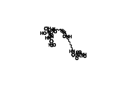 CC1(C)OC(=O)c2ccc(Nc3ncc(-c4nnc(CCCN5CCN(CC(=O)NCCCCCCCCCNc6cccc7c6C(=O)N(C6CCC(=O)NC6=O)C7=O)CC5)o4)c(N[C@H](CO)c4ccccc4)n3)cc21